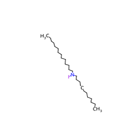 CCCCCCCCCCCCCCN(I)CCCCCCCCCCCC